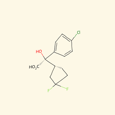 O=C(O)[C@](O)(c1ccc(Cl)cc1)[C@@H]1CCC(F)(F)C1